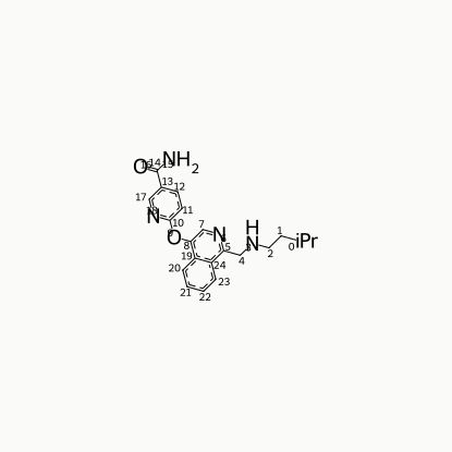 CC(C)CCNCc1ncc(Oc2ccc(C(N)=O)cn2)c2ccccc12